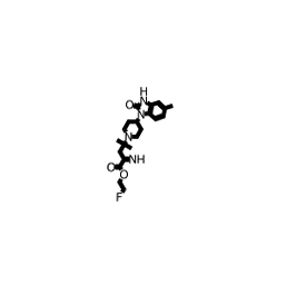 Cc1ccc2c(c1)[nH]c(=O)n2C1CCN(C(C)(C)CC(=N)C(=O)OCCF)CC1